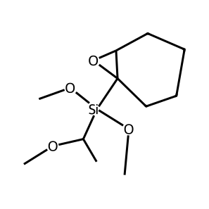 COC(C)[Si](OC)(OC)C12CCCCC1O2